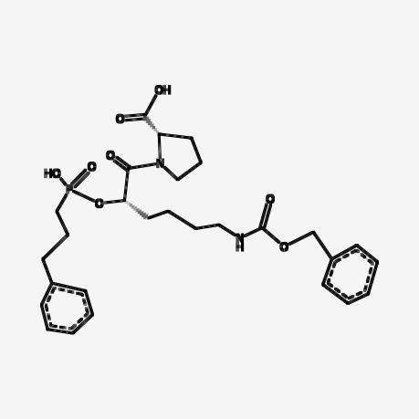 O=C(NCCCC[C@H](OP(=O)(O)CCCc1ccccc1)C(=O)N1CCC[C@H]1C(=O)O)OCc1ccccc1